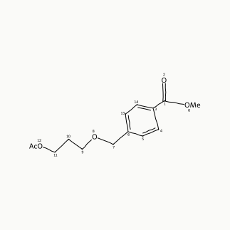 COC(=O)c1ccc(COCCCOC(C)=O)cc1